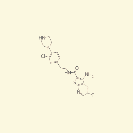 Nc1c(C(=O)NCCc2ccc(N3CCNCC3)c(Cl)c2)sc2ncc(F)cc12